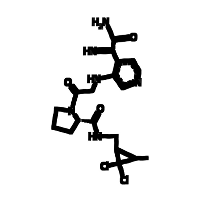 CC1C(CNC(=O)[C@@H]2CCCN2C(=O)CNc2cnccc2C(=N)C(N)=O)C1(Cl)Cl